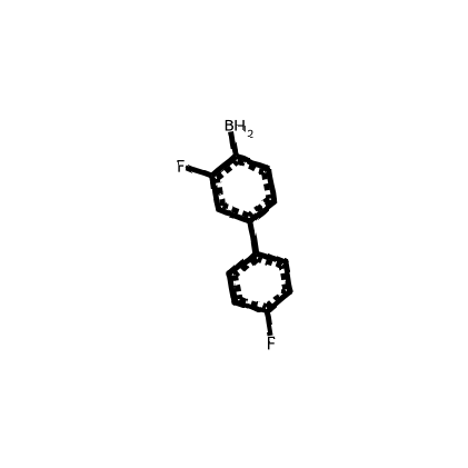 Bc1ccc(-c2ccc(F)cc2)cc1F